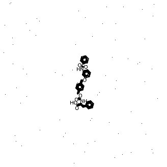 O=C(NC(Cc1ccccc1)C(=O)O)OCc1ccc(COc2cccc(NS(=O)(=O)c3ccccc3)c2)cc1